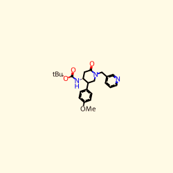 COc1ccc(C2CN(Cc3cccnc3)C(=O)C[C@H]2NC(=O)OC(C)(C)C)cc1